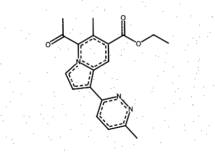 CCOC(=O)c1cc2c(-c3ccc(C)nn3)ccn2c(C(C)=O)c1C